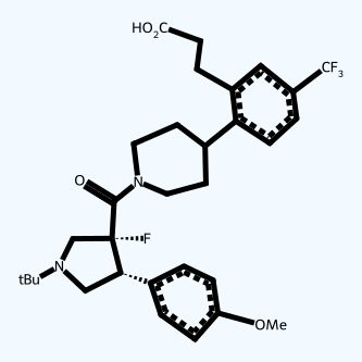 COc1ccc([C@@H]2CN(C(C)(C)C)C[C@@]2(F)C(=O)N2CCC(c3ccc(C(F)(F)F)cc3CCC(=O)O)CC2)cc1